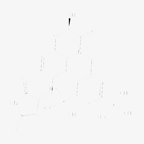 C[C@@H]1Oc2ccc(C=C3SC(=S)NC3=O)cc2N(Cc2cc(C(C)(C)C)cc(C(C)(C)C)c2)C1=O